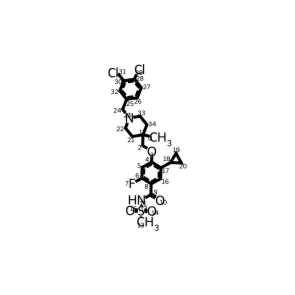 CC1(COc2cc(F)c(C(=O)NS(C)(=O)=O)cc2C2CC2)CCN(Cc2ccc(Cl)c(Cl)c2)CC1